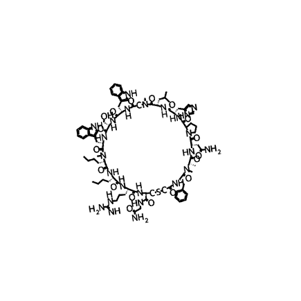 CCCC[C@@H]1NC(=O)[C@H](CCCC)N(C)C(=O)[C@H](Cc2c[nH]c3ccccc23)NC(=O)[C@H](CO)NC(=O)[C@H](Cc2c[nH]c3ccccc23)NC(=O)CN(C)C(=O)[C@H](CC(C)C)NC(=O)[C@H](Cc2cnc[nH]2)NC(=O)C2CCCN2C(=O)[C@H](CC(N)=O)NC(=O)[C@H](C)N(C)C(=O)[C@H](Cc2ccccc2)NC(=O)CSC[C@@H](C(=O)NCC(N)=O)NC(=O)[C@H](CCCNC(=N)N)NC1=O